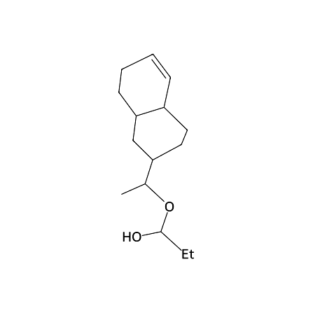 CCC(O)OC(C)C1CCC2C=CCCC2C1